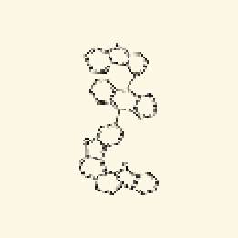 c1ccc2c(c1)sc1c2ccc2ccc3sc4cc(-c5c6ccccc6c(-c6cccc7sc8ccccc8c67)c6ccccc56)ccc4c3c21